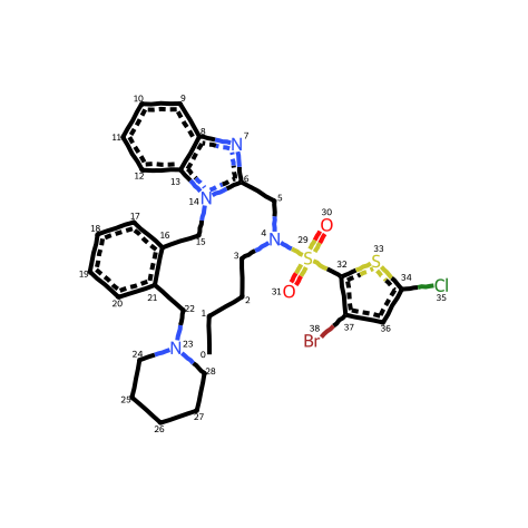 CCCCN(Cc1nc2ccccc2n1Cc1ccccc1CN1CCCCC1)S(=O)(=O)c1sc(Cl)cc1Br